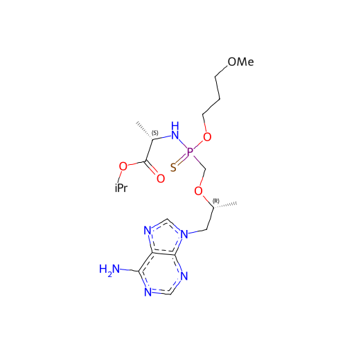 COCCCOP(=S)(CO[C@H](C)Cn1cnc2c(N)ncnc21)N[C@@H](C)C(=O)OC(C)C